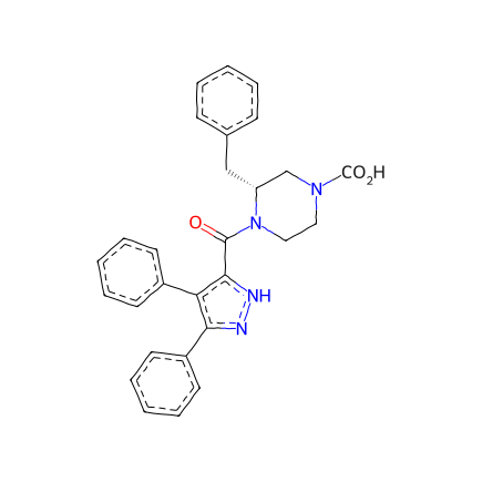 O=C(O)N1CCN(C(=O)c2[nH]nc(-c3ccccc3)c2-c2ccccc2)[C@H](Cc2ccccc2)C1